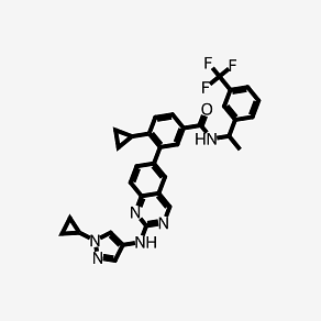 CC(NC(=O)c1ccc(C2CC2)c(-c2ccc3nc(Nc4cnn(C5CC5)c4)ncc3c2)c1)c1cccc(C(F)(F)F)c1